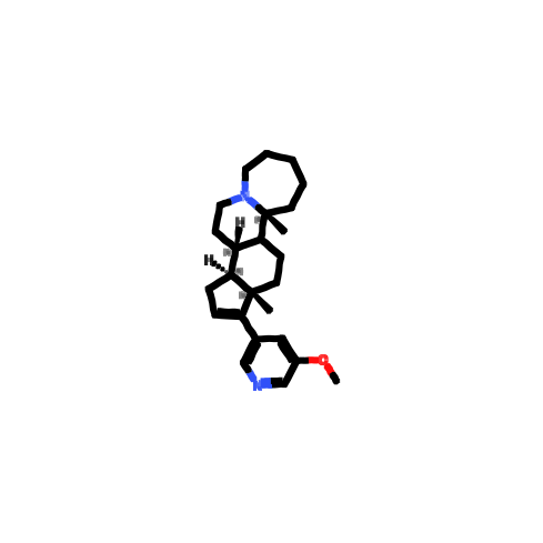 COc1cncc(C2=CC[C@H]3[C@@H]4CCN5CCCCC[C@]5(C)C4CC[C@]23C)c1